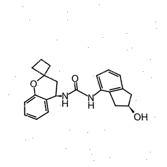 O=C(Nc1cccc2c1C[C@H](O)C2)N[C@@H]1CC2(CCC2)Oc2ccccc21